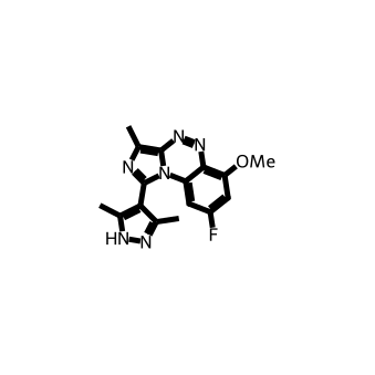 COc1cc(F)cc2c1nnc1c(C)nc(-c3c(C)n[nH]c3C)n12